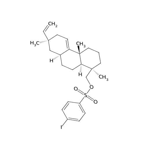 C=C[C@@]1(C)CC=C2[C@@H](CC[C@@H]3[C@](C)(COS(=O)(=O)c4ccc(I)cc4)CCC[C@@]23C)C1